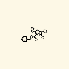 CCSC1=C(C(=O)OCc2ccccc2)N2C(=O)C(CC)C2C1